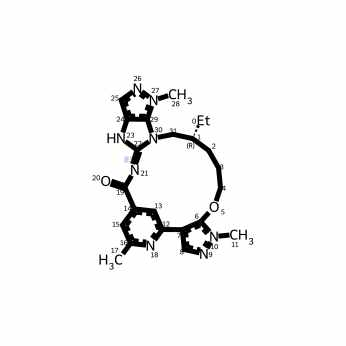 CC[C@@H]1CCCOc2c(cnn2C)-c2cc(cc(C)n2)C(=O)/N=C2\Nc3cnn(C)c3N2C1